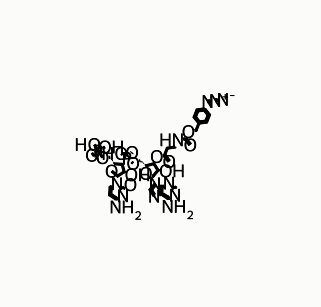 [N-]=[N+]=Nc1ccc(COC(=O)NCCC(=O)O[C@H]2[C@@H](O)[C@H](n3cnc4c(N)ncnc43)O[C@@H]2COP(=O)(O)[C@H]2[C@@H](O)[C@H](n3ccc(N)nc3=O)O[C@@H]2COP(=O)(O)O)cc1